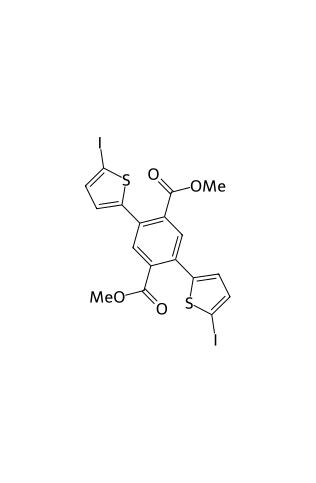 COC(=O)c1cc(-c2ccc(I)s2)c(C(=O)OC)cc1-c1ccc(I)s1